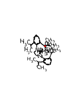 C=C(C)[CH2][Pd]([Cl])[CH]1N(c2c(C(C)C)cccc2C(C)C)CCN1c1c(C(C)C)cccc1C(C)C